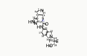 O=C(/C=C/c1cnccc1-c1cn[nH]c1)Nc1ccc2c(c1)CN(CC(F)(F)CO)C2